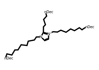 CCCCCCCCCCCCCCCCCCCn1cc[n+](CCCCCCCCCCCCCCCCCC)c1CCCCCCCCCCCCCC